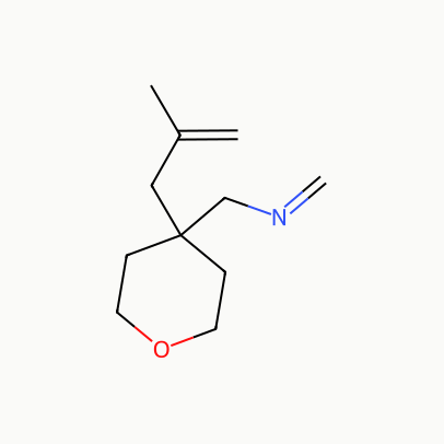 C=NCC1(CC(=C)C)CCOCC1